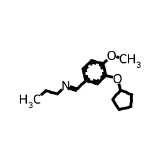 CCCN=Cc1ccc(OC)c(OC2CCCC2)c1